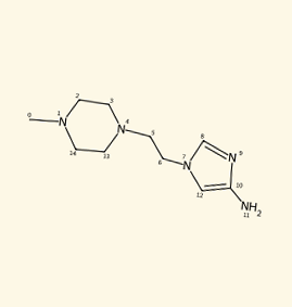 CN1CCN(CCn2cnc(N)c2)CC1